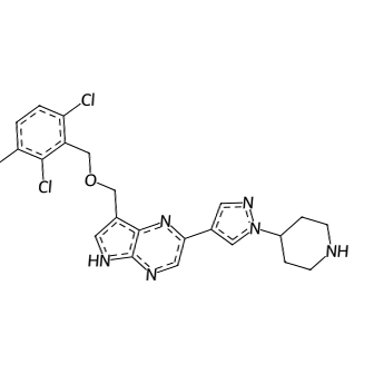 Fc1ccc(Cl)c(COCc2c[nH]c3ncc(-c4cnn(C5CCNCC5)c4)nc23)c1Cl